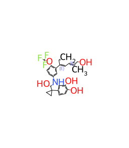 C=C/C(=C\C=C(/C)CO)c1cc(NC(O)C2(c3ccc(O)c(O)c3)CC2)ccc1OC(F)(F)F